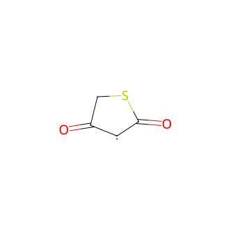 O=C1[CH]C(=O)SC1